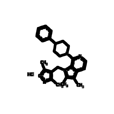 Cc1noc(C)c1Cn1c(C)c(C)c2ccnc(N3CCC(c4ccccc4)CC3)c21.Cl